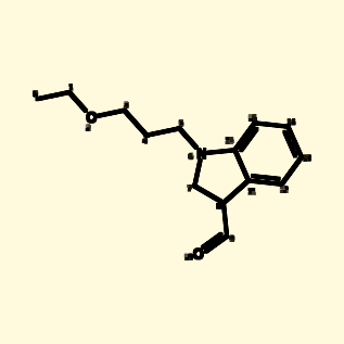 CCOCCCN1CC(C=O)c2ccccc21